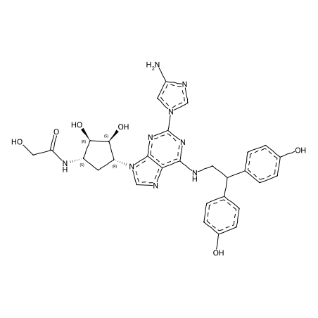 Nc1cn(-c2nc(NCC(c3ccc(O)cc3)c3ccc(O)cc3)c3ncn([C@@H]4C[C@H](NC(=O)CO)[C@@H](O)[C@H]4O)c3n2)cn1